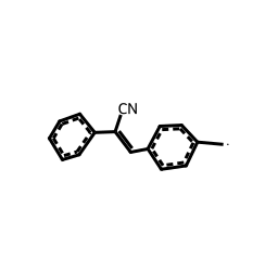 [CH2]c1ccc(/C=C(\C#N)c2ccccc2)cc1